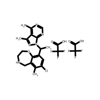 Cc1c(Cl)cc(C(C)n2nc(C)c3c(N)ncnc32)c2c1CNCCO2.O=C(O)C(F)(F)F.O=C(O)C(F)(F)F